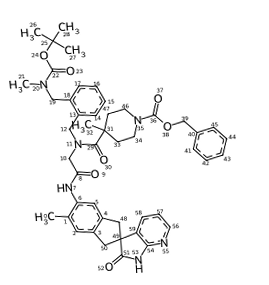 Cc1cc2c(cc1NC(=O)CN(Cc1ccccc1CN(C)C(=O)OC(C)(C)C)C(=O)C1(C)CCN(C(=O)OCc3ccccc3)CC1)CC1(C2)C(=O)Nc2ncccc21